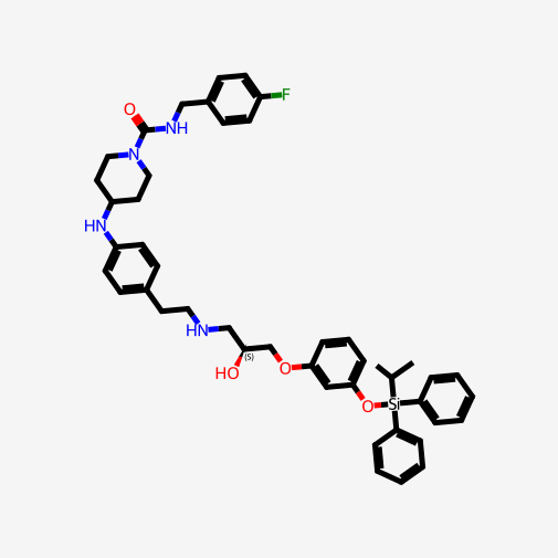 CC(C)[Si](Oc1cccc(OC[C@@H](O)CNCCc2ccc(NC3CCN(C(=O)NCc4ccc(F)cc4)CC3)cc2)c1)(c1ccccc1)c1ccccc1